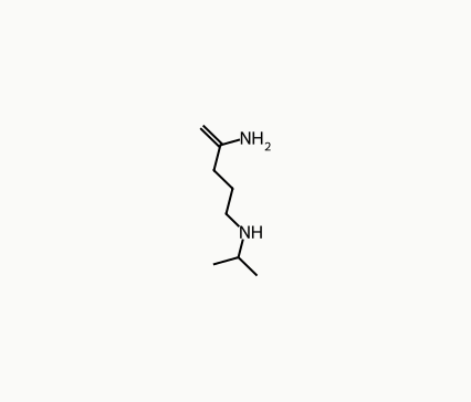 C=C(N)CCCNC(C)C